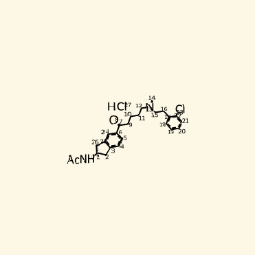 CC(=O)NC1Cc2ccc(C(=O)CCCCN(C)CCc3ccccc3Cl)cc2C1.Cl